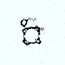 C1=Cc2cc3ccc(cc4nc(cc5ccc(cc1n2)[nH]5)C=C4)[nH]3.O=S(=O)(O)c1ccccn1.[Al]